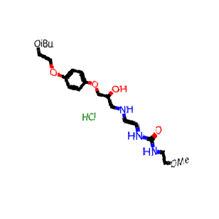 COCCNC(=O)NCCNCC(O)COc1ccc(OCCOCC(C)C)cc1.Cl